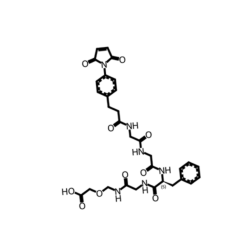 O=C(O)COCNC(=O)CNC(=O)[C@H](Cc1ccccc1)NC(=O)CNC(=O)CNC(=O)CCc1ccc(N2C(=O)C=CC2=O)cc1